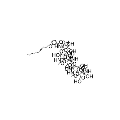 CCCCCCC#CCCCOc1cccc(C(=O)N[C@H]2C(O[C@H]3C(O)C(NC(C)=O)[C@H](OC4C(CO)O[C@@H](O[C@H]5C(O)C(NC(C)=O)[C@H](OC6C(CO)OC(O)[C@@H](NC(C)=O)[C@H]6O)O[C@H]5CO)[C@@H](NC(C)=O)[C@H]4O)O[C@H]3CO)OC(CO)[C@@H](O)[C@@H]2O)c1